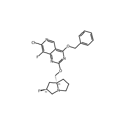 Fc1c(Cl)ncc2c(OCc3ccccc3)nc(OC[C@]34CCCN3C[C@@H](F)C4)nc12